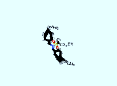 CCOC(=O)[C@@H](CC)S(=O)(=O)N(Cc1ccc(OC)cc1)Cc1ccc(OC)cc1